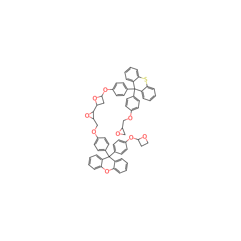 c1ccc2c(c1)Oc1ccccc1C2(c1ccc(OCC2OC2C2CC(Oc3ccc(C4(c5ccc(OCC6CO6)cc5)c5ccccc5Sc5ccccc54)cc3)O2)cc1)c1ccc(OC2CCO2)cc1